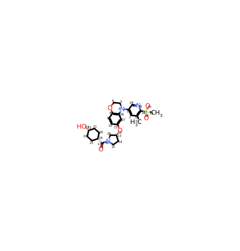 Cc1cc(N2CCOc3ccc(O[C@H]4CCN(C(=O)[C@H]5CC[C@@H](O)CC5)C4)cc32)cnc1S(C)(=O)=O